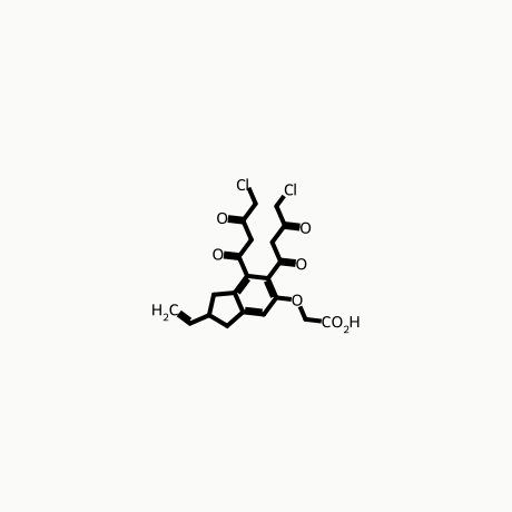 C=CC1Cc2cc(OCC(=O)O)c(C(=O)CC(=O)CCl)c(C(=O)CC(=O)CCl)c2C1